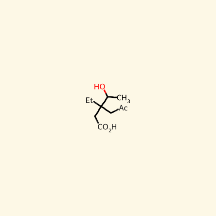 CCC(CC(C)=O)(CC(=O)O)C(C)O